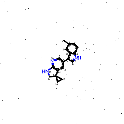 Cc1ccc2[nH]cc(-c3cnc4c(c3)C3(CC3)CN4)c2c1